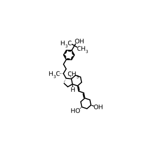 C[C@H](CCc1ccc(C(C)(C)O)cc1)[C@H]1CC[C@H]2/C(=C/C=C3C[C@@H](O)C[C@H](O)C3)CCC[C@]12C